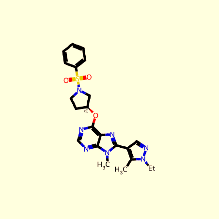 CCn1ncc(-c2nc3c(O[C@H]4CCN(S(=O)(=O)c5ccccc5)C4)ncnc3n2C)c1C